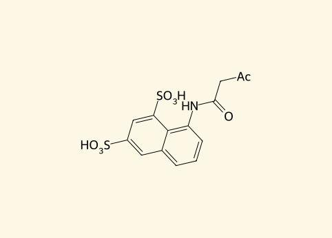 CC(=O)CC(=O)Nc1cccc2cc(S(=O)(=O)O)cc(S(=O)(=O)O)c12